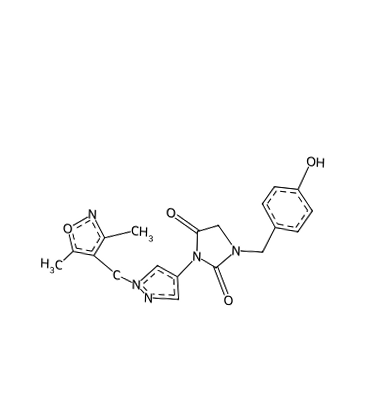 Cc1noc(C)c1Cn1cc(N2C(=O)CN(Cc3ccc(O)cc3)C2=O)cn1